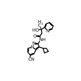 C[C@](O)(CC(=O)Nc1nn2ccc(C#N)cc2c1C1CCC1)c1ccccn1